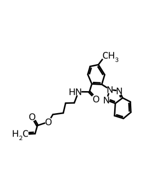 C=CC(=O)OCCCCNC(=O)c1ccc(C)cc1-n1nc2ccccc2n1